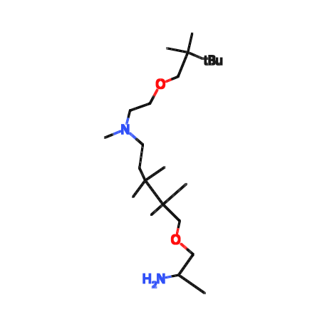 CC(N)COCC(C)(C)C(C)(C)CCN(C)CCOCC(C)(C)C(C)(C)C